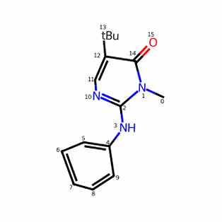 Cn1c(Nc2ccccc2)ncc(C(C)(C)C)c1=O